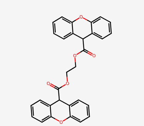 O=C(OCCOC(=O)C1c2ccccc2Oc2ccccc21)C1c2ccccc2Oc2ccccc21